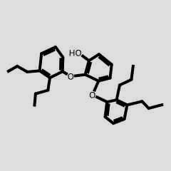 CCCc1cccc(Oc2cccc(O)c2Oc2cccc(CCC)c2CCC)c1CCC